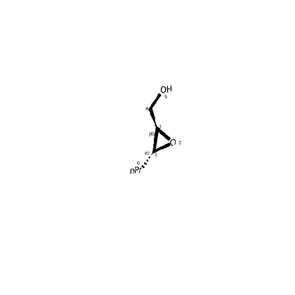 [CH2]CC[C@H]1O[C@@H]1CO